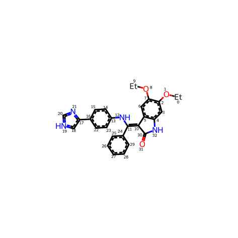 CCOc1cc2c(cc1OCC)C(=C(Nc1ccc(-c3c[nH]cn3)cc1)c1ccccc1)C(=O)N2